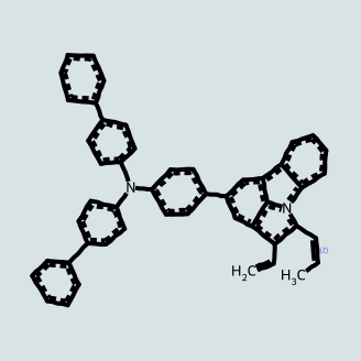 C=Cc1c(/C=C\C)n2c3ccccc3c3cc(-c4ccc(N(c5ccc(-c6ccccc6)cc5)c5ccc(-c6ccccc6)cc5)cc4)cc1c32